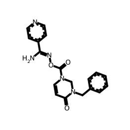 N/C(=N\OC(=O)N1C=CC(=O)N(Cc2ccccc2)C1)c1ccncc1